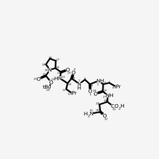 CC(C)CC(NC(=O)CNC(=O)C(CC(C)C)NC(=O)C1CCCN1C(=O)OC(C)(C)C)C(=O)NC(CC(N)=O)C(=O)O